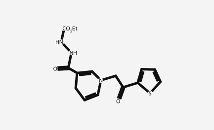 CCOC(=O)NNC(=O)C1=CN(CC(=O)c2cccs2)C=CC1